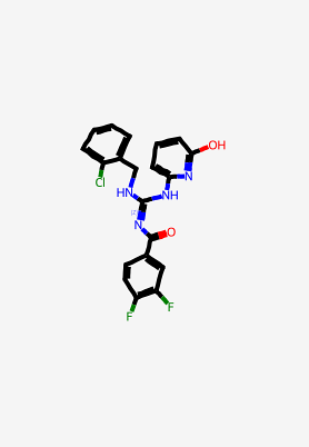 O=C(/N=C(/NCc1ccccc1Cl)Nc1cccc(O)n1)c1ccc(F)c(F)c1